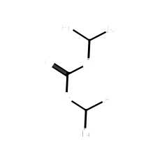 O=C(OC(Br)Br)OC(Br)Br